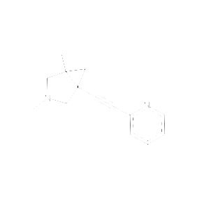 CN1CC2(C)CC2(C#Cc2ccccn2)C1